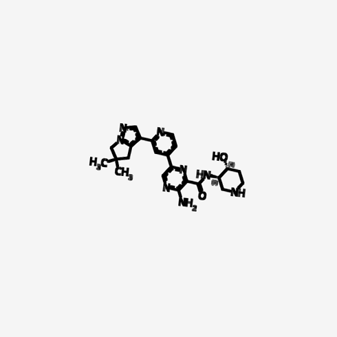 CC1(C)Cc2c(-c3cc(-c4cnc(N)c(C(=O)N[C@@H]5CNCC[C@H]5O)n4)ccn3)cnn2C1